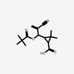 C=C(C#N)C(OC(=O)C(C)(C)C)C1C(C(=O)O)C1(C)C